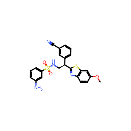 COc1ccc2nc([C@@H](CNS(=O)(=O)c3cccc(N)c3)c3cccc(C#N)c3)sc2c1